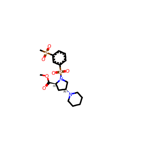 COC(=O)[C@@H]1C[C@@H](N2CCCCC2)CN1S(=O)(=O)c1cccc(S(C)(=O)=O)c1